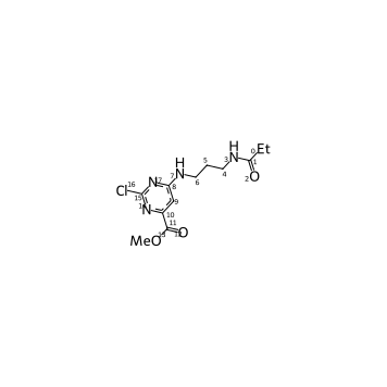 CCC(=O)NCCCNc1cc(C(=O)OC)nc(Cl)n1